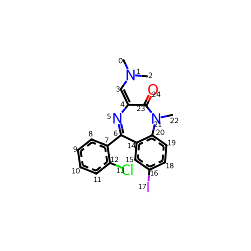 CN(C)C=C1N=C(c2ccccc2Cl)c2cc(I)ccc2N(C)C1=O